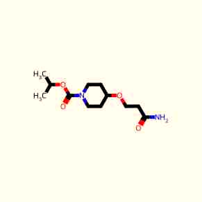 CC(C)OC(=O)N1CCC(OCCC(N)=O)CC1